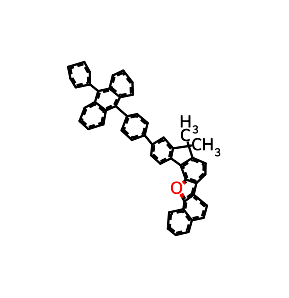 CC1(C)c2cc(-c3ccc(-c4c5ccccc5c(-c5ccccc5)c5ccccc45)cc3)ccc2-c2c1ccc1c2oc2c3ccccc3ccc12